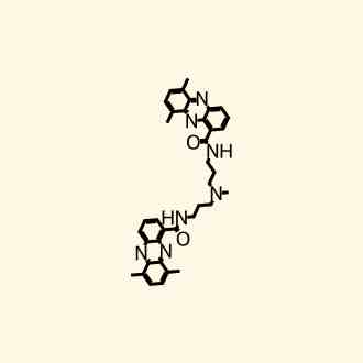 Cc1ccc(C)c2nc3c(C(=O)NCCCN(C)CCCNC(=O)c4cccc5nc6c(C)ccc(C)c6nc45)cccc3nc12